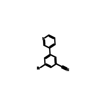 N#Cc1cc(Br)cc(-c2cccnc2)c1